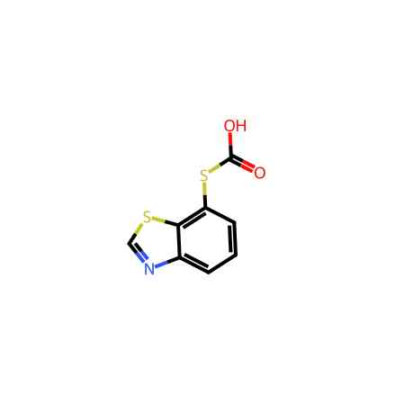 O=C(O)Sc1cccc2ncsc12